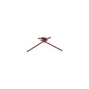 CCCCCCCCCCCCCCCCCCCCCCCCCCCC[CH2][Ni][CH2]CCCCCCCCCCCCCCCCCCCCCCCCCCCC.CCCCCCc1cccc(C2=CC(CCCC)=C(c3cccc(CCCCC)c3)[N+]2=[N-])c1